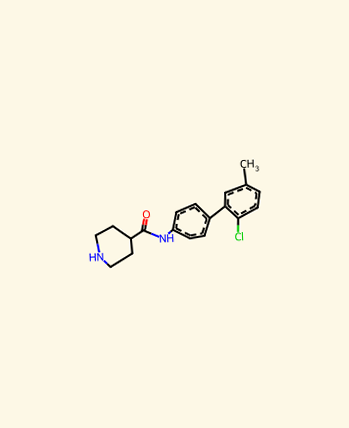 Cc1ccc(Cl)c(-c2ccc(NC(=O)C3CCNCC3)cc2)c1